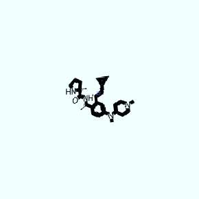 C[C@H](NC(=O)[C@]1(C)CCCN1)c1ccc(N(C)C2CCN(C)CC2)cc1/C=C/C1CC1